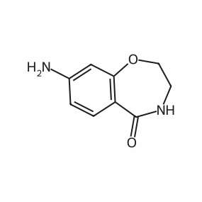 Nc1ccc2c(c1)OCCNC2=O